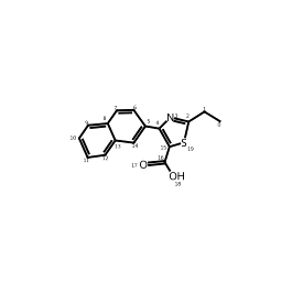 CCc1nc(-c2ccc3ccccc3c2)c(C(=O)O)s1